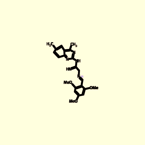 COc1cc(OC)c(/C=N/CC(=N)Nc2nc(C)c3cc(C)ccc3n2)c(OC)c1